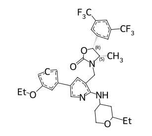 CCOc1cccc(-c2cnc(NC3CCOC(CC)C3)c(CN3C(=O)O[C@H](c4cc(C(F)(F)F)cc(C(F)(F)F)c4)[C@@H]3C)c2)c1